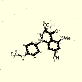 CSc1cc(C#N)cc2c1c(=O)c(C(=O)O)nn2-c1ccc(OC(F)(F)F)cc1